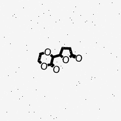 O=C1CCC(C2OCCOC2=O)O1